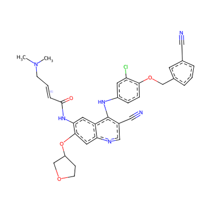 CN(C)C/C=C/C(=O)Nc1cc2c(Nc3ccc(OCc4cccc(C#N)c4)c(Cl)c3)c(C#N)cnc2cc1OC1CCOC1